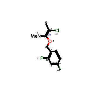 CN/C(OCc1ccc(F)cc1F)=C(\C)Cl